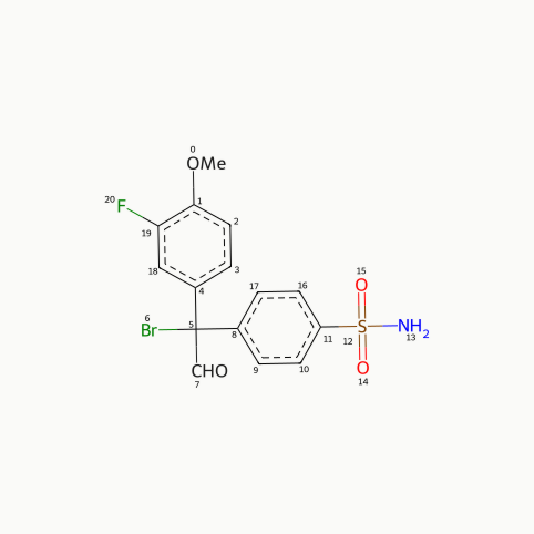 COc1ccc(C(Br)(C=O)c2ccc(S(N)(=O)=O)cc2)cc1F